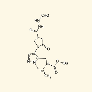 C[C@H]1Cn2ncc(N3CC(C(=O)NNC=O)CC3=O)c2CN1C(=O)OC(C)(C)C